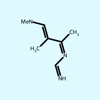 CN/C=C(C)/C(C)=N\C=N